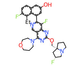 CCc1c(F)ccc2cc(O)cc(-c3ncc4c(N5CCCOCC5)nc(OC[C@]56CCCN5C[C@H](F)C6)nc4c3F)c12